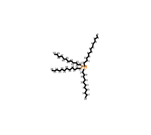 CCCCCCCCCCCCCC[PH](CCCCCCCCCCCC)(CCCCCCCCCCCC)CCCCCCCCCCCC